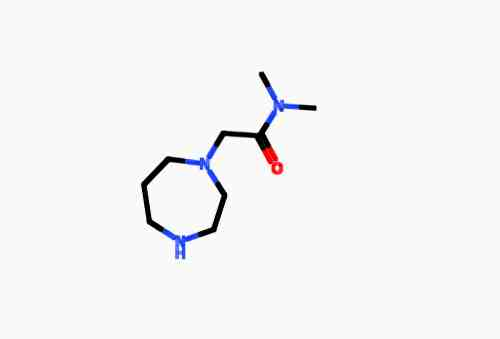 CN(C)C(=O)CN1CCCNCC1